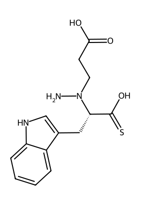 NN(CCC(=O)O)[C@@H](Cc1c[nH]c2ccccc12)C(O)=S